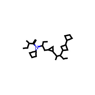 C=C(C(C)CC)N(C1CCC1)C(CC)CC1CC1C(C)C(CC)C1CC(C2CCC2)C1